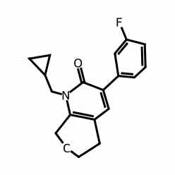 O=c1c(-c2cccc(F)c2)cc2c(n1CC1CC1)CCCC2